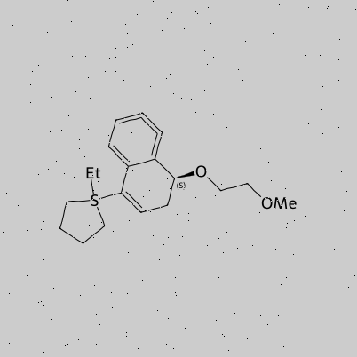 CCS1(C2=CC[C@H](OCCOC)C3=C=C=CC=C32)CCCC1